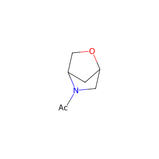 CC(=O)N1CC2CC1CO2